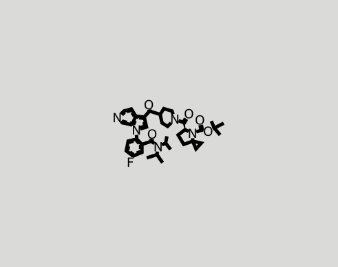 CC(C)N(C(=O)c1cc(F)ccc1-n1cc(C(=O)C2CCN(C(=O)[C@@H]3CCC4(CC4)N3C(=O)OC(C)(C)C)CC2)c2ccncc21)C(C)C